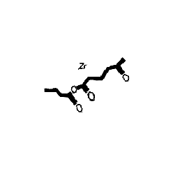 CCCC(=O)OC(=O)CCCC(C)=O.[Zr]